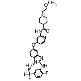 COCCN1CCC(C(=O)Nc2cc(Oc3ccc4c(c3)nc(Nc3cc(C(F)(F)F)ccc3F)n4C)ccn2)CC1